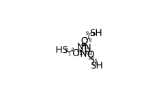 SCCOc1nc(OCCS)nc(OCCS)n1